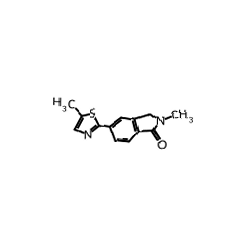 Cc1cnc(-c2ccc3c(c2)CN(C)C3=O)s1